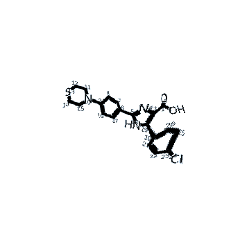 O=C(O)c1nc(-c2ccc(N3CCSCC3)cc2)[nH]c1-c1ccc(Cl)cc1